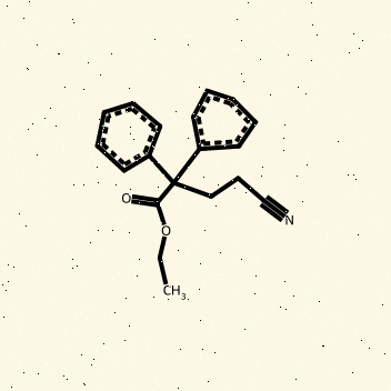 CCOC(=O)C(CCC#N)(c1ccccc1)c1ccccc1